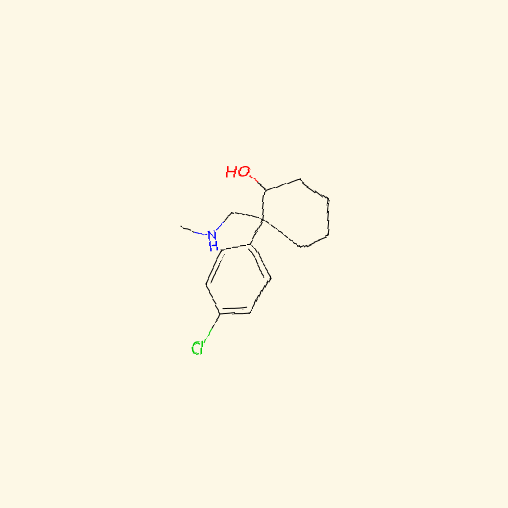 CNCC1(c2ccc(Cl)cc2)CCCCC1O